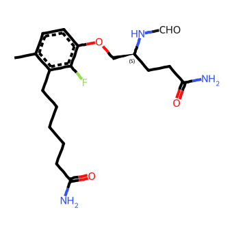 Cc1ccc(OC[C@H](CCC(N)=O)NC=O)c(F)c1CCCCCC(N)=O